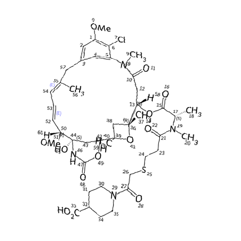 COc1cc2cc(c1Cl)N(C)C(=O)C[C@H](OC(=O)[C@H](C)N(C)C(=O)CCSCC(=O)N1CCC(C(=O)O)CC1)[C@@]1(C)CC(C)(O1)[C@@H]1C[C@@](O)(NC(=O)O1)[C@H](OC)/C=C/C=C(\C)C2